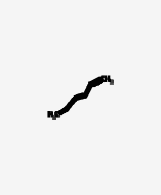 C=C/[C]=C/[CH]C